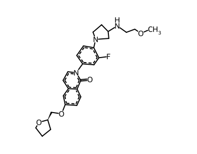 COCCNC1CCN(c2ccc(-n3ccc4cc(OC[C@H]5CCCO5)ccc4c3=O)cc2F)C1